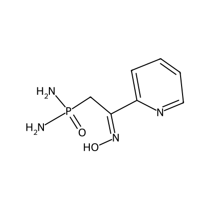 NP(N)(=O)CC(=NO)c1ccccn1